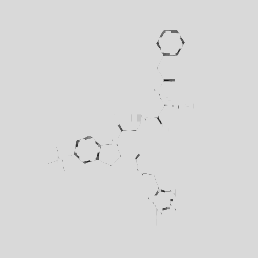 CC[C@H](C)[C@H](NC(=O)Cc1ccccc1)C(=O)NCC(=O)N1c2ccc([N+](C)(C)C)cc2C[C@H]1C(=O)NCc1nn[nH]n1.[I-]